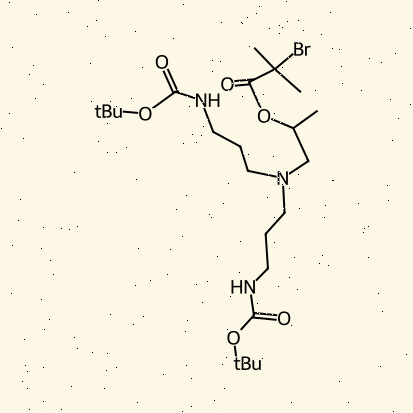 CC(CN(CCCNC(=O)OC(C)(C)C)CCCNC(=O)OC(C)(C)C)OC(=O)C(C)(C)Br